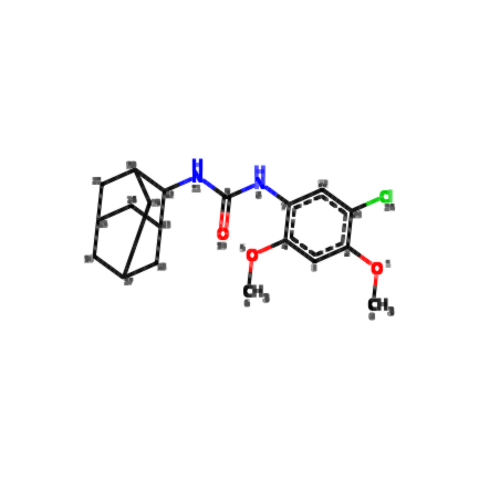 COc1cc(OC)c(NC(=O)NC2C3CC4CC(C3)CC2C4)cc1Cl